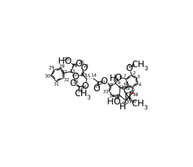 COc1ccc2c3c1O[C@H]1C(OC(=O)C[C@H](OC(C)=O)C(=O)O[C@H](C(=O)O)c4ccccc4)=CC[C@@]4(O)[C@@H](C2)N(C)CC[C@]314